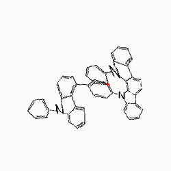 c1ccc(-n2c3ccccc3c3c(-c4ccc(-n5c6ccccc6c6ccc7c8ccccc8n(-c8ccccc8)c7c65)cc4)cccc32)cc1